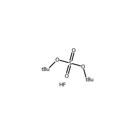 CC(C)(C)OS(=O)(=O)OC(C)(C)C.F